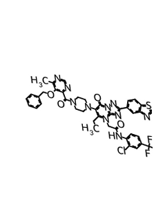 CCc1c(N2CCN(C(=O)c3ncnc(C)c3OCc3ccccc3)CC2)c(=O)n2nc(-c3ccc4scnc4c3)nc2n1CC(=O)Nc1ccc(C(F)(F)F)cc1Cl